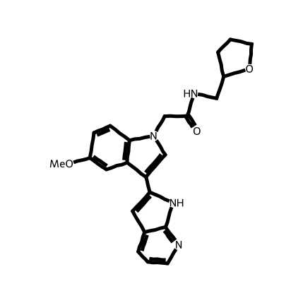 COc1ccc2c(c1)c(-c1cc3cccnc3[nH]1)cn2CC(=O)NCC1CCCO1